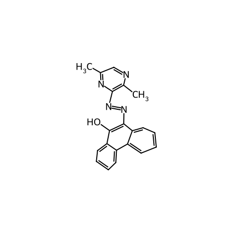 Cc1cnc(C)c(N=Nc2c(O)c3ccccc3c3ccccc23)n1